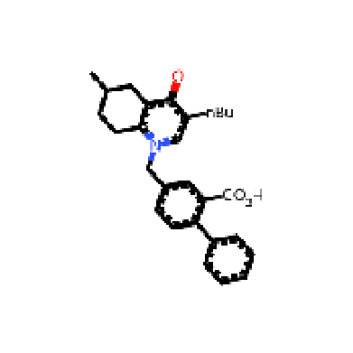 CCCCc1cn(Cc2ccc(-c3ccccc3)c(C(=O)O)c2)c2c(c1=O)CC(C)CC2